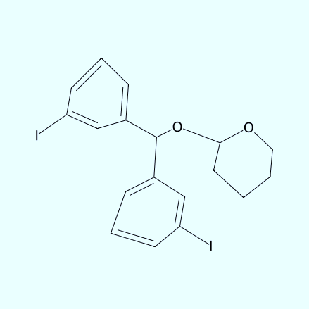 Ic1cccc(C(OC2CCCCO2)c2cccc(I)c2)c1